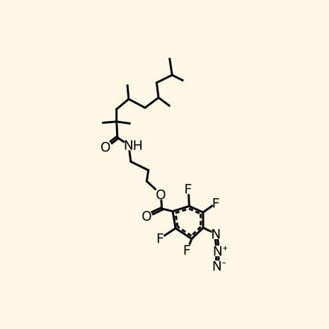 CC(C)CC(C)CC(C)CC(C)(C)C(=O)NCCCOC(=O)c1c(F)c(F)c(N=[N+]=[N-])c(F)c1F